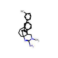 CN1CC23c4ccccc4CCCC2(Cc2ccc(-c4cccc(C#N)c4)cc23)N=C1N